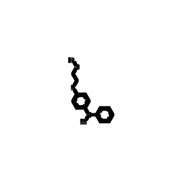 CCOCCSc1ccc(N(CC)c2ccccc2)cc1